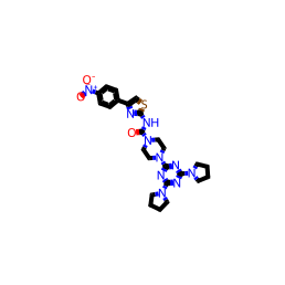 O=C(Nc1nc(-c2ccc([N+](=O)[O-])cc2)cs1)N1CCN(c2nc(N3CCCC3)nc(N3CCCC3)n2)CC1